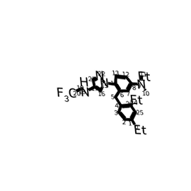 CCc1ccc(Cc2cc(N(C)CC)ccc2-n2cc(NCC(F)(F)F)cn2)c(CC)c1